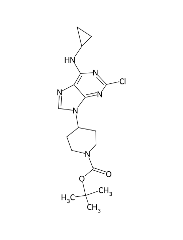 CC(C)(C)OC(=O)N1CCC(n2cnc3c(NC4CC4)nc(Cl)nc32)CC1